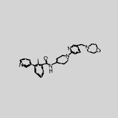 Cc1c(C(=O)NC2CCN(c3ccc(CN4CCOCC4)cn3)CC2)cccc1-c1cccnc1